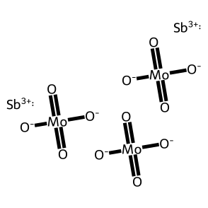 [O]=[Mo](=[O])([O-])[O-].[O]=[Mo](=[O])([O-])[O-].[O]=[Mo](=[O])([O-])[O-].[Sb+3].[Sb+3]